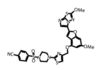 COc1cc(OCc2csc(N3CCN(S(=O)(=O)c4ccc(C#N)cc4)CC3)n2)c2cc(-c3cnc4sc(OC)nn34)oc2c1